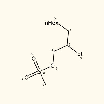 CCCCCCCC(CC)COS(C)(=O)=O